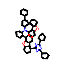 c1ccc(-c2ccc(N(c3ccccc3-c3cccc4c3oc3cccc(-c5nc(-c6ccccc6)nc(-c6ccccc6)n5)c34)c3cccc4oc5ccccc5c34)cc2)cc1